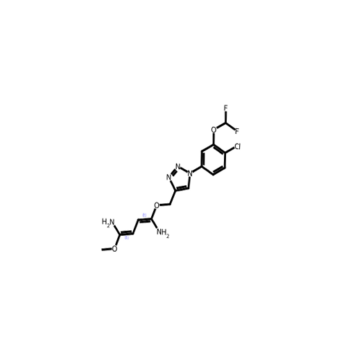 CO/C(N)=C/C=C(\N)OCc1cn(-c2ccc(Cl)c(OC(F)F)c2)nn1